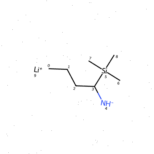 CCCC([NH-])[Si](C)(C)C.[Li+]